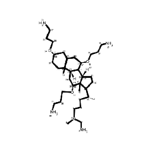 C[C@H](CCCN(C)CN)C1CC[C@H]2C3[C@H](OCCCN)CC4C[C@H](OCCCN)CCC4(C)[C@H]3C[C@H](OCCCN)C12C